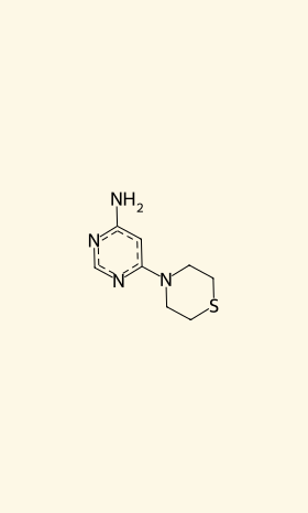 Nc1cc(N2CCSCC2)ncn1